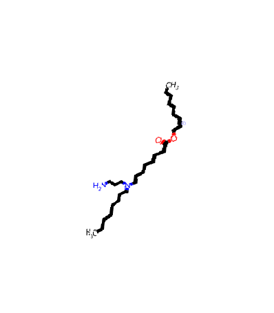 CCCCCC/C=C\COC(=O)CCCCCCCN(CCCN)CCCCCCCC